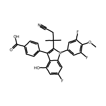 COc1c(F)cc(-n2c(C(C)(C)CC#N)c(-c3ccc(C(=O)O)cc3)c3c(O)cc(F)cc32)cc1F